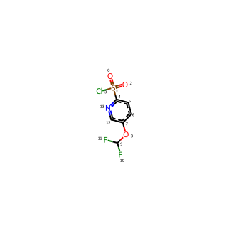 O=S(=O)(Cl)c1ccc(OC(F)F)cn1